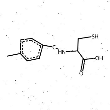 Cc1ccc(CNC(CS)C(=O)O)cc1